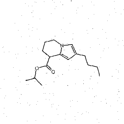 CCCCc1cc2n(c1)CCCC2C(=O)OC(C)C